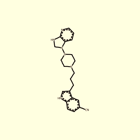 N#Cc1ccc2[nH]cc(CCCN3CCN(N4CNc5ncccc54)CC3)c2c1